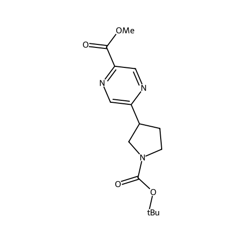 COC(=O)c1cnc(C2CCN(C(=O)OC(C)(C)C)C2)cn1